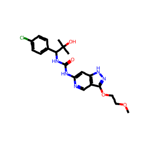 COCCOc1n[nH]c2cc(NC(=O)NC(c3ccc(Cl)cc3)C(C)(C)O)ncc12